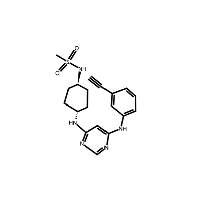 C#Cc1cccc(Nc2cc(N[C@H]3CC[C@H](NS(C)(=O)=O)CC3)ncn2)c1